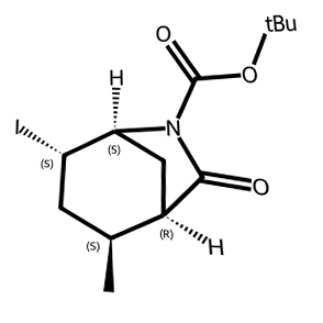 C[C@H]1C[C@H](I)[C@@H]2C[C@H]1C(=O)N2C(=O)OC(C)(C)C